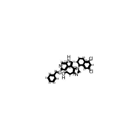 OCCc1ncn(C2CCCc3c(Cl)cc(Cl)cc32)c1-c1c[nH]c2cnc(OCc3ccccc3)cc12